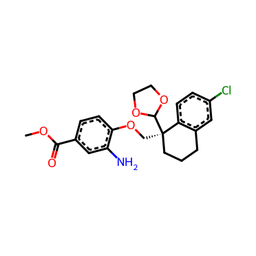 COC(=O)c1ccc(OC[C@@]2(C3OCCO3)CCCc3cc(Cl)ccc32)c(N)c1